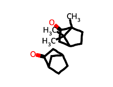 CC12CCC(CC1=O)C2(C)C.O=C1CC2CCC1C2